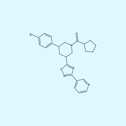 CCc1ccc(C2CC(c3nc(-c4cccnc4)no3)CN(C(=O)C3CCCC3)C2)cc1